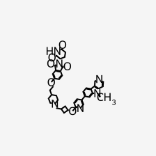 Cn1c2ccncc2c2ccc(-c3ccc(OC4CC(CN5CCC(CCOc6ccc7c(c6)C(=O)N(C6CCC(=O)NC6=O)C7=O)CC5)C4)nc3)cc21